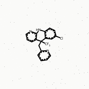 FC(F)(F)C1(Cc2ccccn2)c2cc(Cl)ccc2Nc2ncccc21